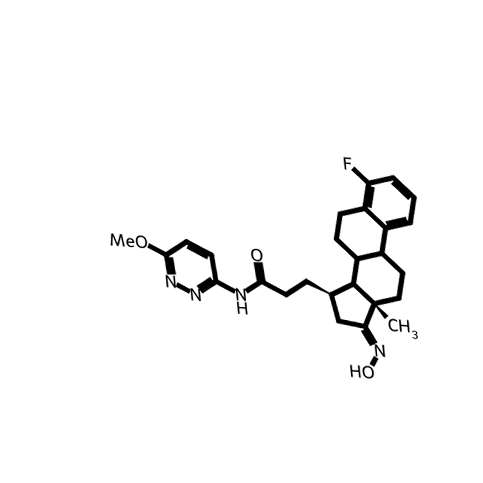 COc1ccc(NC(=O)CC[C@@H]2C/C(=N\O)[C@@]3(C)CCC4c5cccc(F)c5CCC4C23)nn1